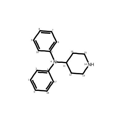 c1ccc(N(c2ccccc2)C2CCNCC2)cc1